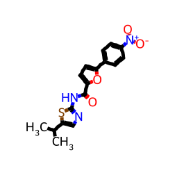 CC(C)c1cnc(NC(=O)c2ccc(-c3ccc([N+](=O)[O-])cc3)o2)s1